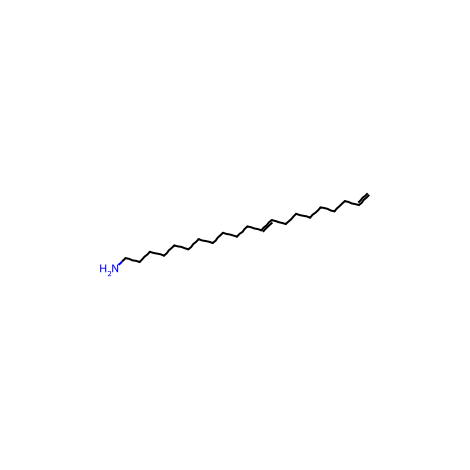 C=CCCCCCCC=CCCCCCCCCCCCN